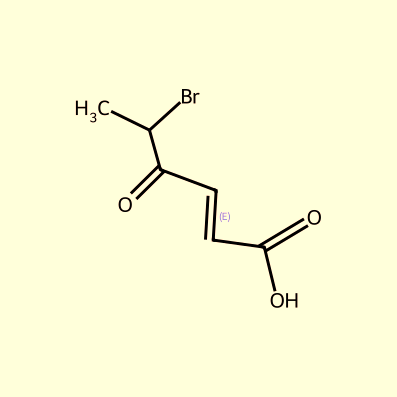 CC(Br)C(=O)/C=C/C(=O)O